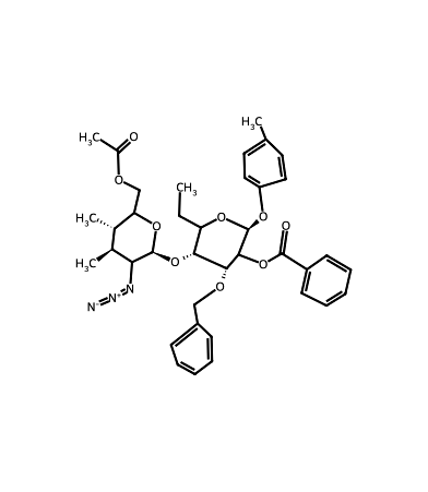 CCC1O[C@@H](Oc2ccc(C)cc2)C(OC(=O)c2ccccc2)[C@H](OCc2ccccc2)[C@@H]1O[C@@H]1OC(COC(C)=O)[C@@H](C)[C@H](C)C1N=[N+]=[N-]